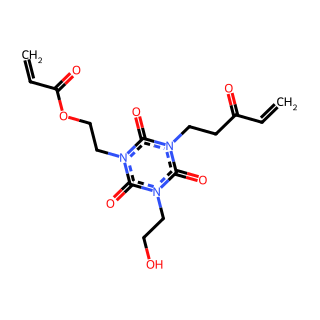 C=CC(=O)CCn1c(=O)n(CCO)c(=O)n(CCOC(=O)C=C)c1=O